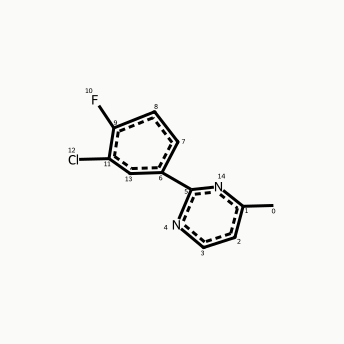 Cc1ccnc(-c2ccc(F)c(Cl)c2)n1